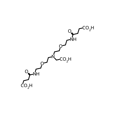 O=C(O)CCC(=O)NCCOCCN(CCOCCNC(=O)CCC(=O)O)CC(=O)O